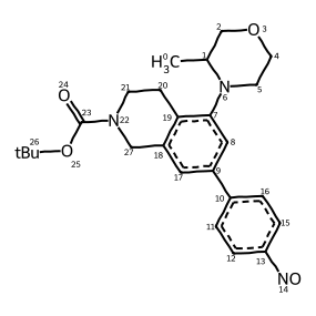 CC1COCCN1c1cc(-c2ccc(N=O)cc2)cc2c1CCN(C(=O)OC(C)(C)C)C2